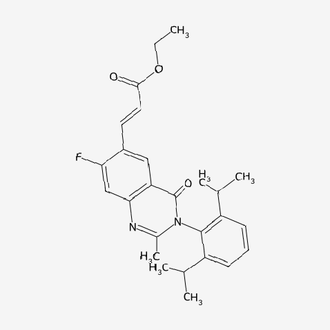 CCOC(=O)C=Cc1cc2c(=O)n(-c3c(C(C)C)cccc3C(C)C)c(C)nc2cc1F